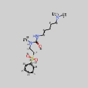 CCN(CC)CCCCCNC(=O)N(CCS(=O)(=O)c1ccccc1)C(C)C